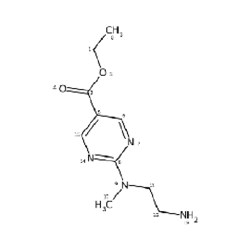 CCOC(=O)c1cnc(N(C)CCN)nc1